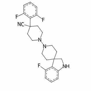 N#CC1(c2c(F)cccc2F)CCN(N2CCC3(CC2)CNc2cccc(F)c23)CC1